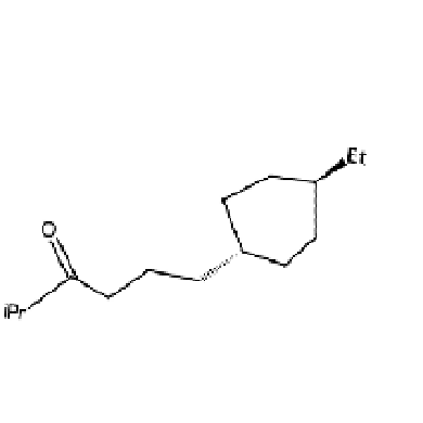 CC[C@H]1CC[C@H](CCCC(=O)C(C)C)CC1